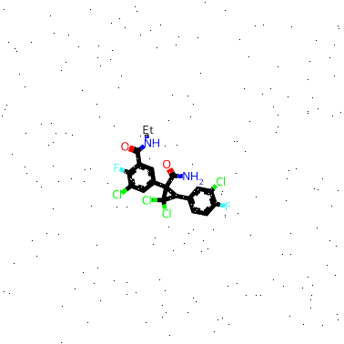 CCNC(=O)c1cc(C2(C(N)=O)C(c3ccc(F)c(Cl)c3)C2(Cl)Cl)cc(Cl)c1F